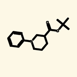 CC(C)(C)OC(=O)C1CCCN(c2[c]cccc2)C1